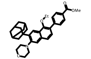 CCOc1c(-c2ccc(C(=O)OC)cc2)ccc2cc(N3CCOCC3)c(C34CC5CC(CC(C5)C3)C4)cc12